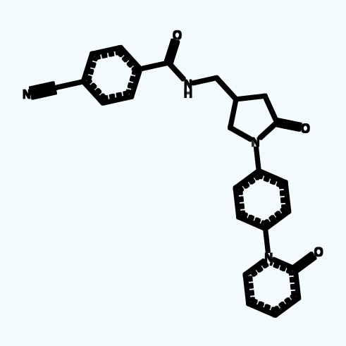 N#Cc1ccc(C(=O)NCC2CC(=O)N(c3ccc(-n4ccccc4=O)cc3)C2)cc1